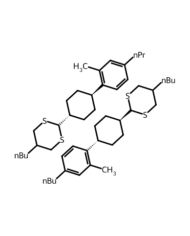 CCCCC1CSC([C@H]2CC[C@H](c3ccc(CCC)cc3C)CC2)SC1.CCCCc1ccc([C@H]2CC[C@H](C3SCC(CCCC)CS3)CC2)c(C)c1